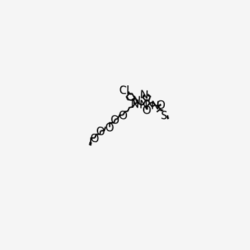 C#CCOCCOCCOCCOCCOCCCCn1c(CN2C(=O)C3(CN(C(=O)/C(C)=C/SC=C)C3)c3ccncc32)nc2cc(Cl)ccc21